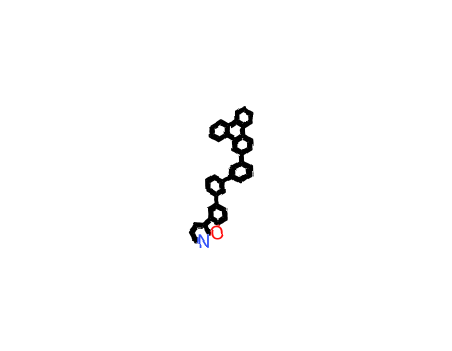 c1cc(-c2cccc(-c3ccc4c5ccccc5c5ccccc5c4c3)c2)cc(-c2ccc3oc4ncccc4c3c2)c1